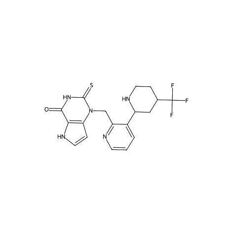 O=c1[nH]c(=S)n(Cc2ncccc2C2CC(C(F)(F)F)CCN2)c2cc[nH]c12